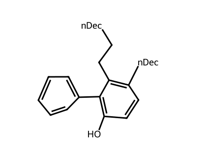 CCCCCCCCCCCCc1c(CCCCCCCCCC)ccc(O)c1-c1ccccc1